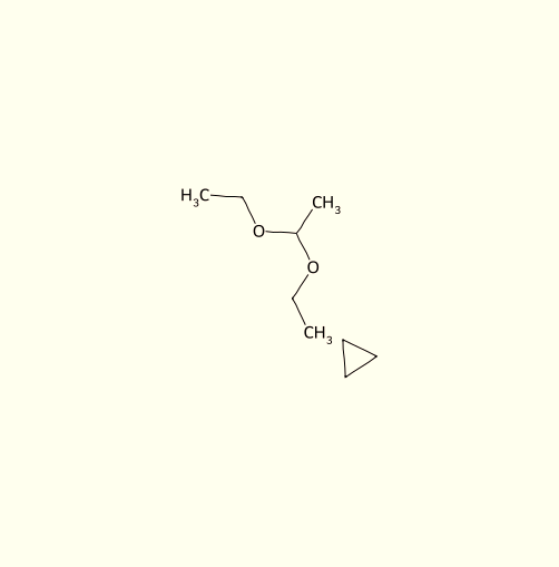 C1CC1.CCOC(C)OCC